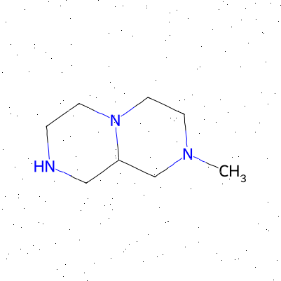 CN1CCN2CCNCC2C1